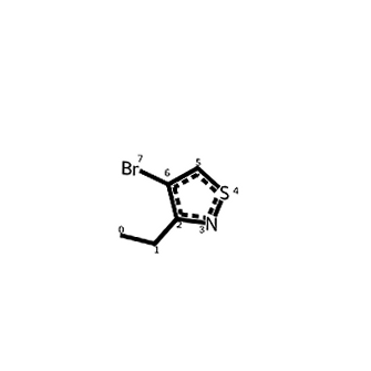 CCc1nscc1Br